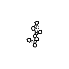 c1ccc(-n2c3ccccc3c3ccc4c(ccc5c4c4ccccc4n5-c4cccc5c4oc4ccccc45)c32)cc1